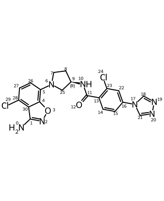 Nc1noc2c(N3CC[C@@H](NC(=O)c4ccc(-n5cnnc5)cc4Cl)C3)ccc(Cl)c12